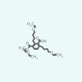 C=COC=C.C=COCCCCc1ccc(C(=O)O)c(CCCCOC=C)c1C(=O)O